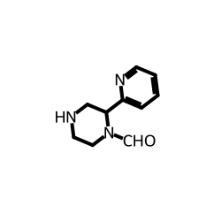 O=CN1CCNCC1c1ccccn1